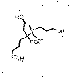 C[N+](C)(CCCO)C(CCO)(CCCS(=O)(=O)O)C(=O)[O-]